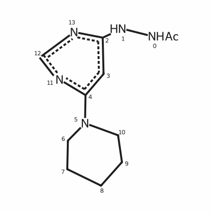 CC(=O)NNc1cc(N2CCCCC2)ncn1